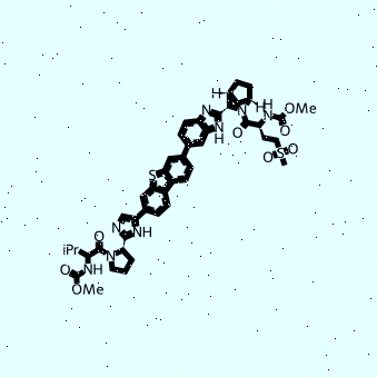 COC(=O)NC(C(=O)N1CCC[C@H]1c1ncc(-c2ccc3c(c2)sc2cc(-c4ccc5nc([C@@H]6[C@H]7CC[C@H](C7)N6C(=O)[C@H](CCS(C)(=O)=O)NC(=O)OC)[nH]c5c4)ccc23)[nH]1)C(C)C